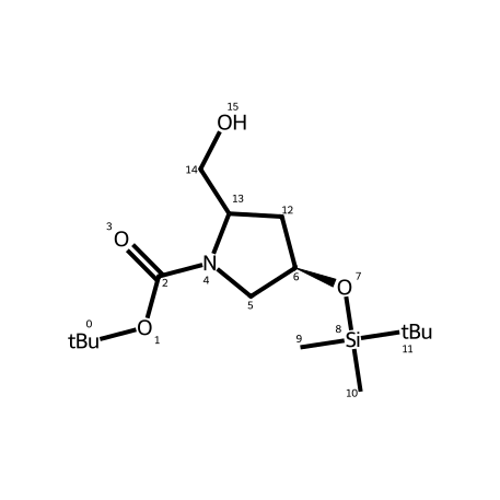 CC(C)(C)OC(=O)N1C[C@H](O[Si](C)(C)C(C)(C)C)CC1CO